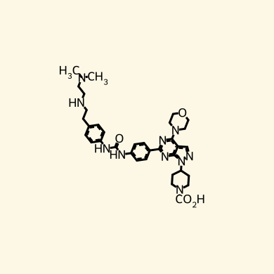 CN(C)CCNCCc1ccc(NC(=O)Nc2ccc(-c3nc(N4CCOCC4)c4cnn(C5CCN(C(=O)O)CC5)c4n3)cc2)cc1